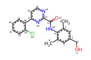 Cc1cc(CO)cc(C)c1NC(=O)c1nccc(-c2ccccc2Cl)n1